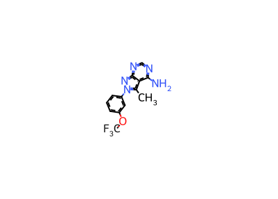 Cc1c2c(N)ncnc2nn1-c1cccc(OC(F)(F)F)c1